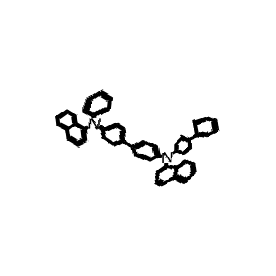 C1=C(c2ccc(N(c3ccc(-c4ccccc4)cc3)c3cccc4ccccc34)cc2)CCC(N(c2ccccc2)c2cccc3ccccc23)=C1